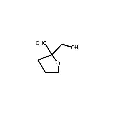 O=CC1(CO)CCCO1